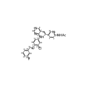 CC(=O)Nc1ccc(C=Cc2cncnc2Nc2ccc(OCc3cccc(F)c3)c(Cl)c2)cn1